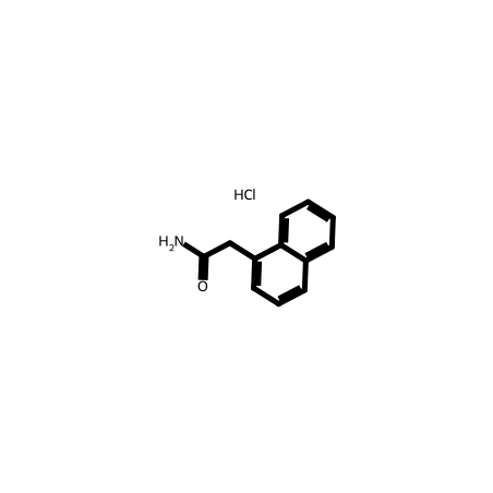 Cl.NC(=O)Cc1cccc2ccccc12